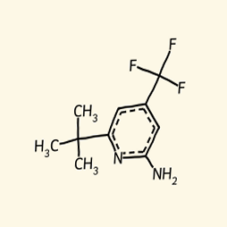 CC(C)(C)c1cc(C(F)(F)F)cc(N)n1